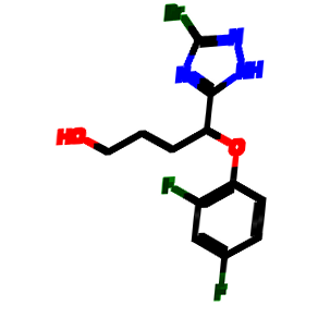 OCCCC(Oc1ccc(F)cc1F)c1nc(Br)n[nH]1